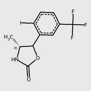 C[C@H]1NC(=O)OC1c1cc(C(F)(F)F)ccc1I